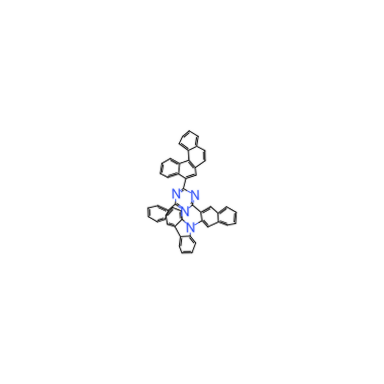 c1ccc(-c2nc(-c3cc4ccccc4cc3-n3c4ccccc4c4ccccc43)nc(-c3cc4ccc5ccccc5c4c4ccccc34)n2)cc1